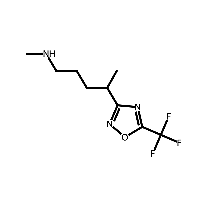 CNCCCC(C)c1noc(C(F)(F)F)n1